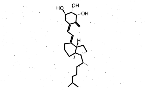 C=C1/C(=C\C=C2/CCC[C@]3(C)[C@@H]([C@H](C)CCCC(C)C)CC[C@@H]23)C[C@@H](O)[C@H](O)[C@@H]1O